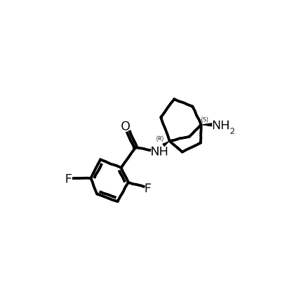 N[C@@]12CCC[C@@](NC(=O)c3cc(F)ccc3F)(CC1)C2